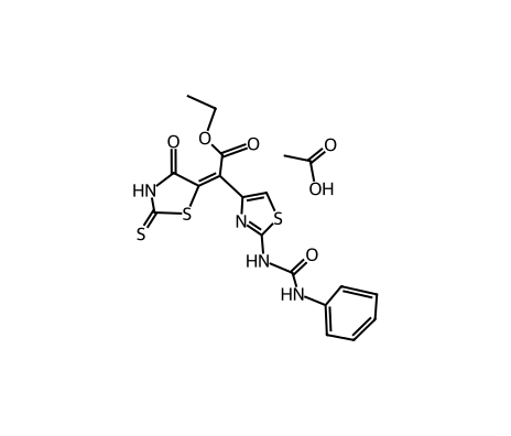 CC(=O)O.CCOC(=O)C(=C1SC(=S)NC1=O)c1csc(NC(=O)Nc2ccccc2)n1